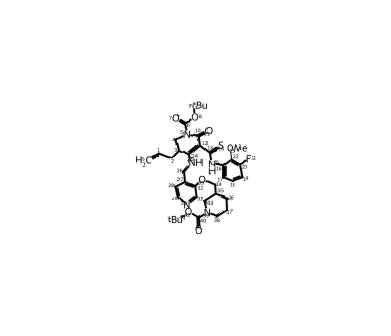 C=CCC1CN(C(=O)OC(C)(C)C)C(=O)C(C(=S)Nc2cccc(F)c2OC)=C1NCc1ccncc1OCC1CCCN(C(=O)OC(C)(C)C)C1